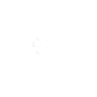 CCCOc1cc2ncnc(N(C)CC)c2cc1OCCC